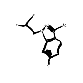 CC(=O)c1nn(CC(F)F)c2cc(F)ccc12